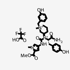 COC(=O)c1cc(NC(=O)/[N+](=C2/CCC[N+](C)(Cc3cccc(O)c3)C2)[C@@H](Cc2ccc(O)cc2)C(N)=O)cn1C.O=C(O)C(F)(F)F